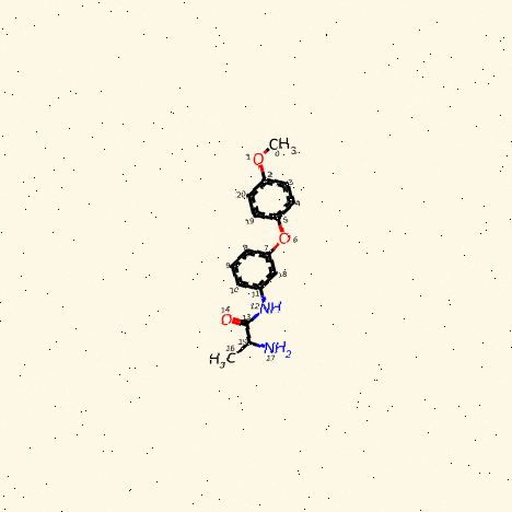 COc1ccc(Oc2cccc(NC(=O)C(C)N)c2)cc1